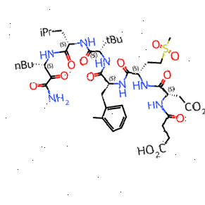 CCCC[C@H](NC(=O)[C@H](CC(C)C)NC(=O)[C@@H](NC(=O)[C@H](Cc1ccccc1C)NC(=O)[C@H](CCS(C)(=O)=O)NC(=O)[C@H](CC(=O)O)NC(=O)CCC(=O)O)C(C)(C)C)C(=O)C(N)=O